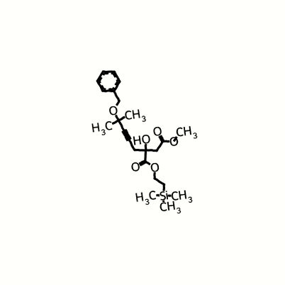 COC(=O)CC(O)(CC#CC(C)(C)OCc1ccccc1)C(=O)OCC[Si](C)(C)C